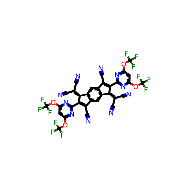 N#CC(C#N)=C1C(c2nc(OC(F)(F)F)cc(OC(F)(F)F)n2)=C(C#N)c2cc3c(cc21)C(C#N)=C(c1nc(OC(F)(F)F)cc(OC(F)(F)F)n1)C3=C(C#N)C#N